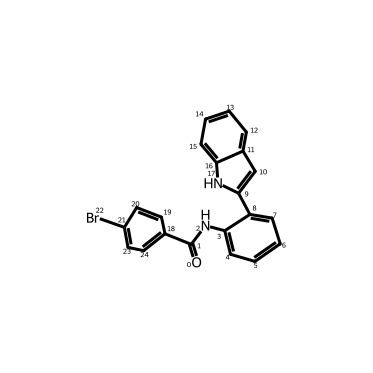 O=C(Nc1ccccc1-c1cc2ccccc2[nH]1)c1ccc(Br)cc1